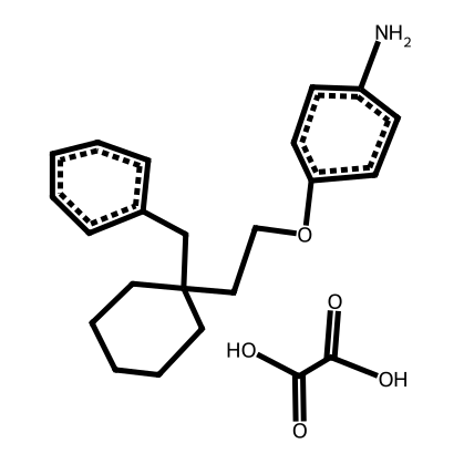 Nc1ccc(OCCC2(Cc3ccccc3)CCCCC2)cc1.O=C(O)C(=O)O